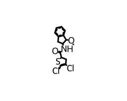 COC1c2ccccc2CC1NC(=O)C1CC(Cl)=C(Cl)S1